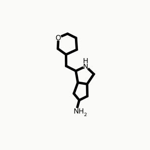 NC1CC2CNC(CC3CCCOC3)C2C1